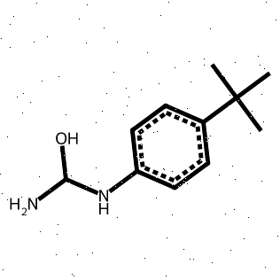 CC(C)(C)c1ccc(NC(N)O)cc1